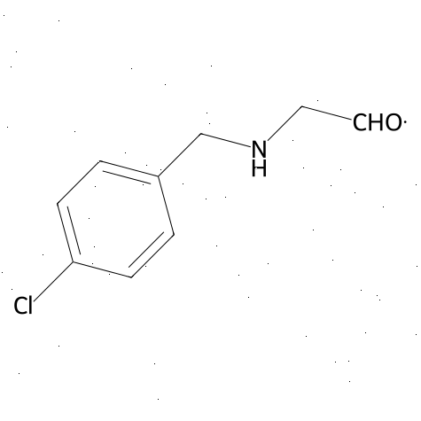 O=[C]CNCc1ccc(Cl)cc1